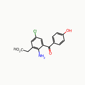 Nc1c(CC(=O)O)cc(Cl)cc1C(=O)c1ccc(O)cc1